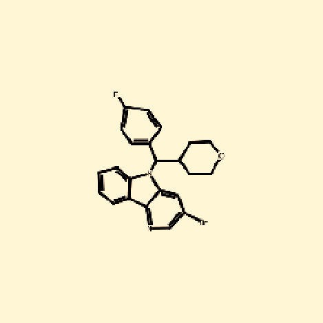 Fc1ccc(C(C2CCOCC2)n2c3ccccc3c3ncc(Br)cc32)cc1